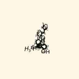 CC(C)CN(C(=O)C=Cc1ccoc1)[C@H]1CC[C@H]2[C@H]3Cc4c(O)ccc5c4[C@@]2(CCN3C)[C@@H]1O5